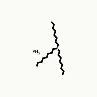 CCCCCCCCP(CCCCCCCC)CCCCCCCC.P